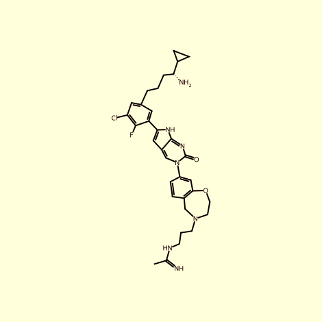 CC(=N)NCCCN1CCOc2cc(-n3cc4cc(-c5cc(CCC[C@@H](N)C6CC6)cc(Cl)c5F)[nH]c4nc3=O)ccc2C1